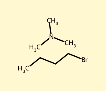 CCCCBr.CN(C)C